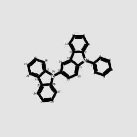 [c]1ccccc1-n1c2ccccc2c2cc(-n3c4ccccc4c4ccccc43)ccc21